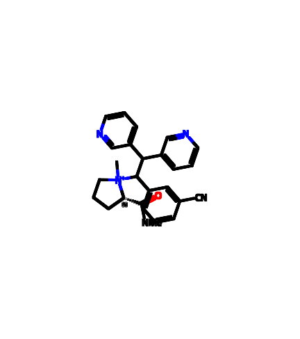 CNC(=O)[C@@H]1CCC[N+]1(C)C(c1cccc(C#N)c1)C(c1cccnc1)c1cccnc1